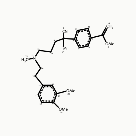 C=C(OC)c1ccc(C(C#N)(CCCN(C)CCc2ccc(OC)c(OC)c2)C(C)C)cc1